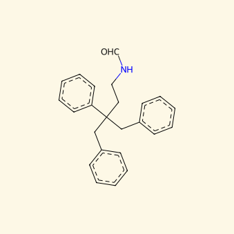 O=CNCCC(Cc1ccccc1)(Cc1ccccc1)c1ccccc1